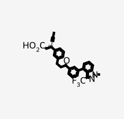 CC#C[C@@H](CC(=O)O)c1ccc2c(c1)CCC(c1cccc(-c3cccc4c3c(C(F)(F)F)nn4C)c1)O2